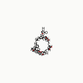 C=C1C[C@@H]2CCC(O)/C=C/[C@H](O[Si](C)(C)C(C)(C)C)[C@@H]3OC4CC[C@H](CC(=O)C[C@@H]5[C@@H](C)[C@@H](C[C@H]6CNC(=O)O6)O[C@H]5C[C@H]5O[C@@H](CC[C@@H]1O2)C[C@@H](C)C5=C)O[C@@H]4[C@H](C)[C@@H]3O[Si](C)(C)C(C)(C)C